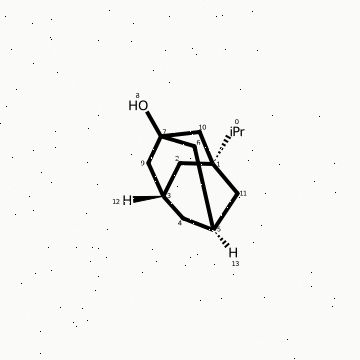 CC(C)[C@]12C[C@@H]3C[C@@H](CC(O)(C3)C1)C2